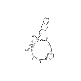 C=C1C[C@H](C)C[C@@H]2CC=C[C@@H](C/C=C\C(=O)OC([C@@H](O)/C=C/C3CCc4ccccc4C3)C[C@@H]3O[C@H]3[C@@H](O)C1)O2